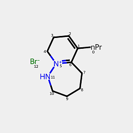 CCCC1=CCC[N+]2=C1CCCCN2.[Br-]